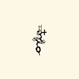 Cc1ccc(/C=c2\[nH]c(=O)/c(=C/c3nc[nH]c3C(C)(C)C)[nH]c2=O)cc1